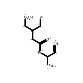 C=CC(CCCCC)NC(=O)CC(CC(=O)O)CC(C)C